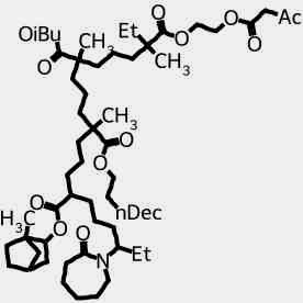 CCCCCCCCCCCCOC(=O)C(C)(CCCC(CCCC(CC)N1CCCCCC1=O)C(=O)OC1CC2CCC1(C)C2)CCCC(C)(CCCC(C)(CC)C(=O)OCCOC(=O)CC(C)=O)C(=O)OCC(C)C